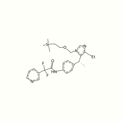 CCc1ncn(COCC[Si](C)(C)C)c1[C@H](C)c1ccc(NC(=O)C(F)(F)c2cccnc2)cc1